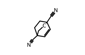 N#CC12C=CC(C#N)(CC1)CC2